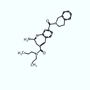 CCCN(CCC)C(=O)C1=Cc2ccc(C(=O)N3CCc4ccccc4C3)cc2N=C(N)C1